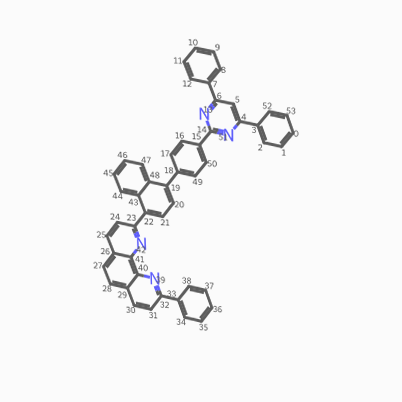 c1ccc(-c2cc(-c3ccccc3)nc(-c3ccc(-c4ccc(-c5ccc6ccc7ccc(-c8ccccc8)nc7c6n5)c5ccccc45)cc3)n2)cc1